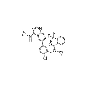 O=C(c1ccccc1C(F)(F)F)N(Cc1cc(-c2ccc3ncnc(NC4CC4)c3c2)ccc1Cl)C1CC1